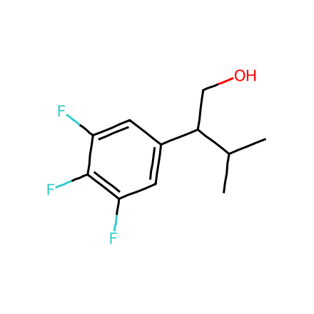 CC(C)C(CO)c1cc(F)c(F)c(F)c1